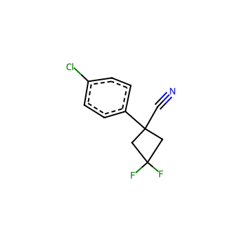 N#CC1(c2ccc(Cl)cc2)CC(F)(F)C1